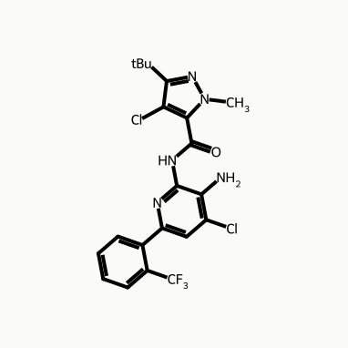 Cn1nc(C(C)(C)C)c(Cl)c1C(=O)Nc1nc(-c2ccccc2C(F)(F)F)cc(Cl)c1N